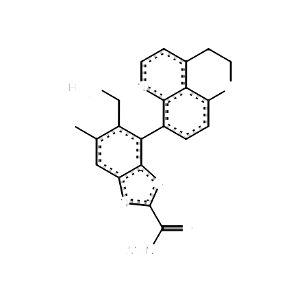 CNC(=O)c1nc2cc(C)c(CC(=O)O)c(-c3ccc4c5c(ccnc35)CCO4)c2s1